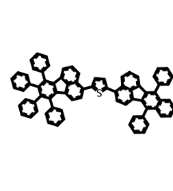 c1ccc(-c2c(-c3ccccc3)c(-c3ccccc3)c3c(c2-c2ccccc2)-c2cccc4c(-c5ccc(-c6ccc7c8c(cccc68)-c6c-7c(-c7ccccc7)c7ccccc7c6-c6ccccc6)s5)ccc-3c24)cc1